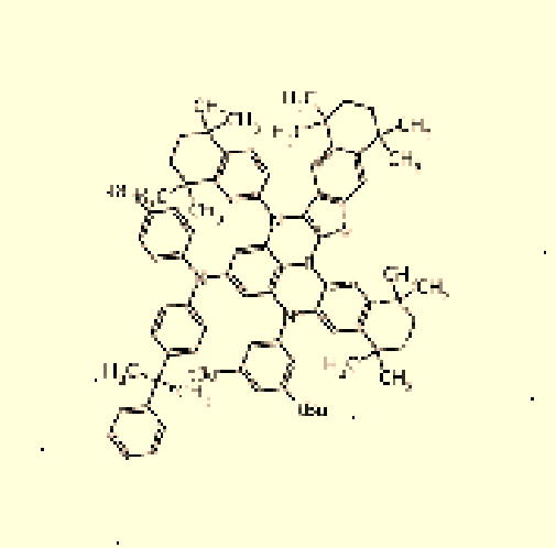 CC(C)(C)c1ccc(N(c2ccc(C(C)(C)c3ccccc3)cc2)c2cc3c4c(c2)N(c2ccc5c(c2)C(C)(C)CCC5(C)C)c2c(sc5cc6c(cc25)C(C)(C)CCC6(C)C)B4c2cc4c(cc2N3c2cc(C(C)(C)C)cc(C(C)(C)C)c2)C(C)(C)CCC4(C)C)cc1